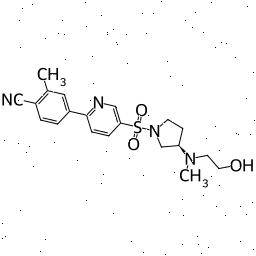 Cc1cc(-c2ccc(S(=O)(=O)N3CC[C@@H](N(C)CCO)C3)cn2)ccc1C#N